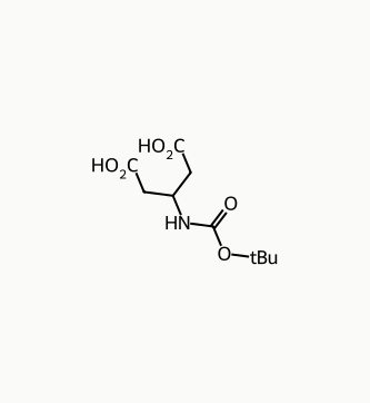 CC(C)(C)OC(=O)NC(CC(=O)O)CC(=O)O